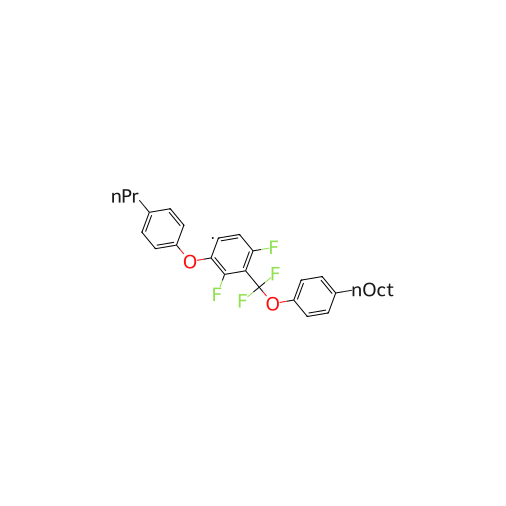 CCCCCCCCc1ccc(OC(F)(F)c2c(F)c[c]c(Oc3ccc(CCC)cc3)c2F)cc1